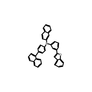 c1cc(-c2cc3ccccc3o2)cc(N(c2ccc(-c3cccc4ccccc34)cc2)c2ccc3ccccc3c2)c1